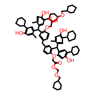 Cc1cc(O)c(C2CCCCC2)cc1C(c1cc(C2CCCCC2)c(O)cc1C)c1cc(Cc2ccc(OCC(=O)OCOCC3CCCCC3)c(C(c3cc(C4CCCCC4)c(O)cc3C)c3cc(C4CCCCC4)c(O)cc3C)c2)ccc1OCC(=O)OCOCC1CCCCC1